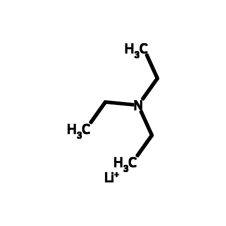 CCN(CC)CC.[Li+]